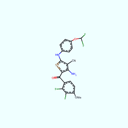 COc1ccc(C(=O)c2sc(Nc3ccc(OC(F)F)cc3)c(C#N)c2N)c(F)c1F